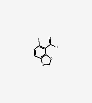 O=C(Cl)c1c(I)ccc2c1OCO2